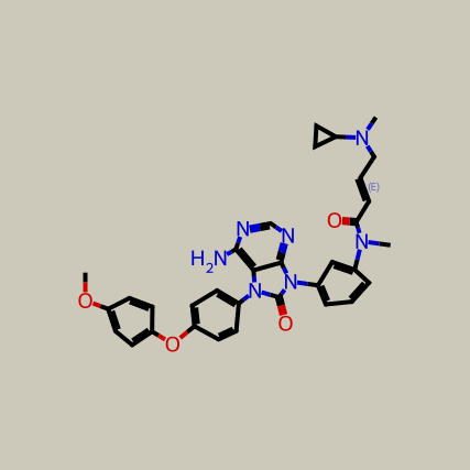 COc1ccc(Oc2ccc(-n3c(=O)n(-c4cccc(N(C)C(=O)/C=C/CN(C)C5CC5)c4)c4ncnc(N)c43)cc2)cc1